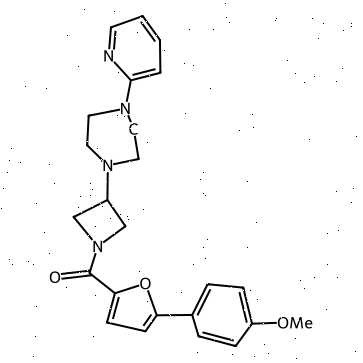 COc1ccc(-c2ccc(C(=O)N3CC(N4CCN(c5ccccn5)CC4)C3)o2)cc1